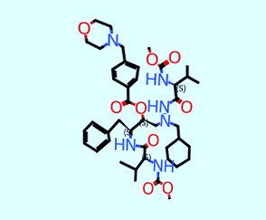 COC(=O)N[C@H](C(=O)N[C@@H](Cc1ccccc1)[C@H](CN(CC1CCCCC1)NC(=O)[C@@H](NC(=O)OC)C(C)C)OC(=O)c1ccc(CN2CCOCC2)cc1)C(C)C